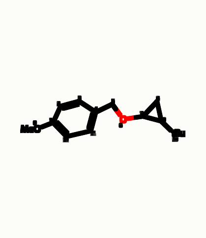 COc1ccc(COC2CC2C(C)(C)C)cc1